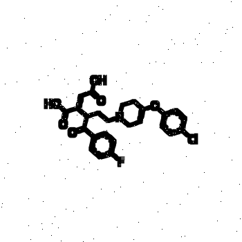 O=C(O)/C=C(/C(=O)O)C(CCN1CC=C(Oc2ccc(Cl)cc2)CC1)C(=O)c1ccc(F)cc1